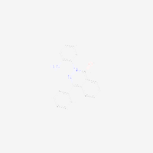 Nc1ccccc1-n1nc(-c2ccccc2)c2ccccc2c1=O